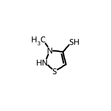 CN1NSC=C1S